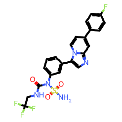 NS(=O)(=O)N(C(=O)NCC(F)(F)F)c1cccc(-c2cnc3cc(-c4ccc(F)cc4)ccn23)c1